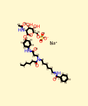 CCCCCC(=O)N(CCCCCCNC(=O)c1ccccc1)CCC(=O)Nc1ccc(O[C@@H]2O[C@H](COS(=O)(=O)[O-])[C@H](O)[C@H](O)[C@H]2NC(C)=O)cc1.[Na+]